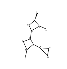 CC1C(C2CC(I)C2C2CC2)C[C@H]1C